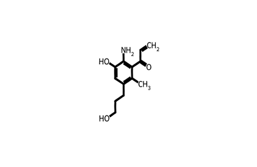 C=CC(=O)c1c(C)c(CCCO)cc(O)c1N